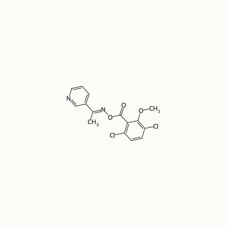 COc1c(Cl)ccc(Cl)c1C(=O)O/N=C(\C)c1cccnc1